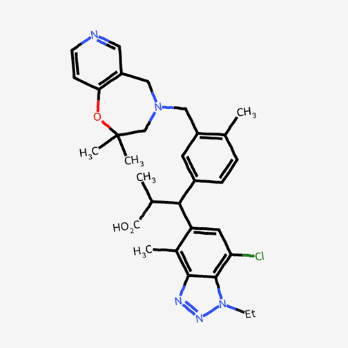 CCn1nnc2c(C)c(C(c3ccc(C)c(CN4Cc5cnccc5OC(C)(C)C4)c3)C(C)C(=O)O)cc(Cl)c21